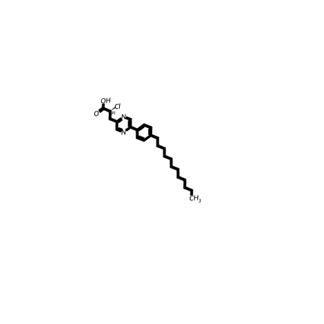 CCCCCCCCCCCCc1ccc(-c2cnc(C[C@@H](Cl)C(=O)O)cn2)cc1